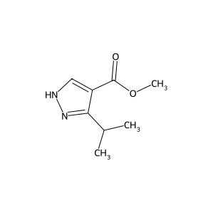 COC(=O)c1c[nH]nc1C(C)C